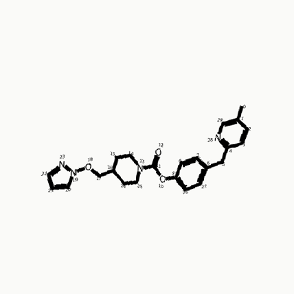 Cc1ccc(Cc2ccc(OC(=O)N3CCC(COn4cccn4)CC3)cc2)nc1